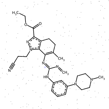 C=N/C(=N\C1=C(C)CCc2c(C(=O)OCC)nn(CCC#N)c21)Nc1cccc(N2CCN(C)CC2)c1